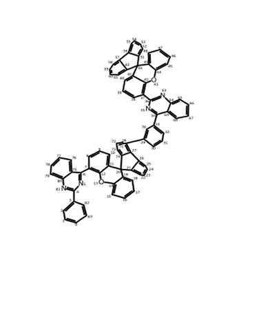 c1ccc(-c2nc(-c3cccc4c3Oc3ccccc3C43c4ccccc4-c4c(-c5cccc(-c6nc(-c7cccc8c7Oc7ccccc7C87c8ccccc8-c8ccccc87)nc7ccccc67)c5)cccc43)c3ccccc3n2)cc1